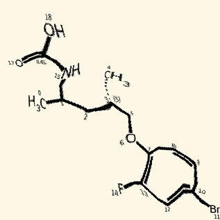 CC(C[C@H](C)COc1ccc(Br)cc1F)NC(=O)O